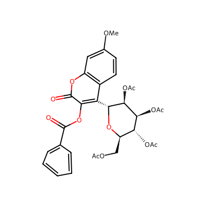 COc1ccc2c([C@H]3O[C@H](COC(C)=O)[C@@H](OC(C)=O)[C@H](OC(C)=O)[C@@H]3OC(C)=O)c(OC(=O)c3ccccc3)c(=O)oc2c1